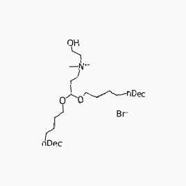 CCCCCCCCCCCCCCOC(CC[N+](C)(C)CCO)OCCCCCCCCCCCCCC.[Br-]